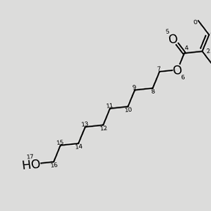 CC=C(C)C(=O)OCCCCCCCCCCO